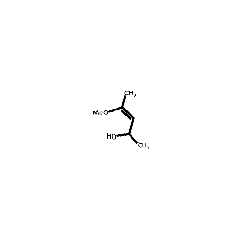 CO/C(C)=C\C(C)O